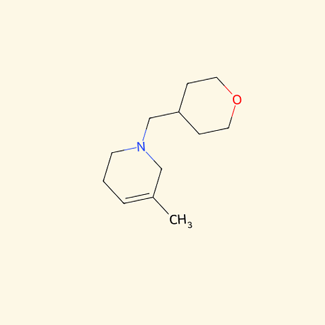 CC1=CCCN(CC2CCOCC2)C1